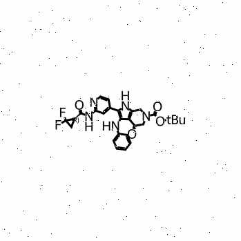 CC(C)(C)OC(=O)N1CC(=O)c2c([nH]c(-c3ccnc(NC(=O)[C@H]4CC4(F)F)c3)c2Nc2ccccc2)C1